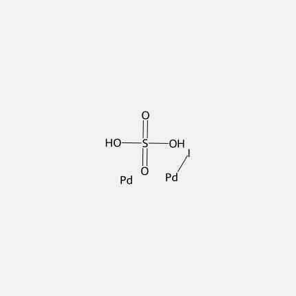 O=S(=O)(O)O.[Pd].[Pd][I]